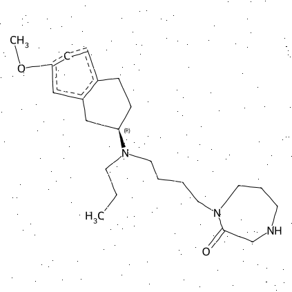 CCCN(CCCCN1CCCNCC1=O)[C@@H]1CCc2ccc(OC)cc2C1